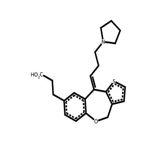 O=C(O)CCc1ccc2c(c1)/C(=C/CCN1CCCC1)c1sccc1CO2